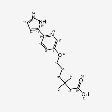 CC(C)(CCCOc1ccc(-c2ccn[nH]2)nc1)CC(=O)O